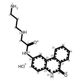 Cl.NCCCNCC(=O)Nc1ccc2[nH]c(=O)c3ccccc3c2c1